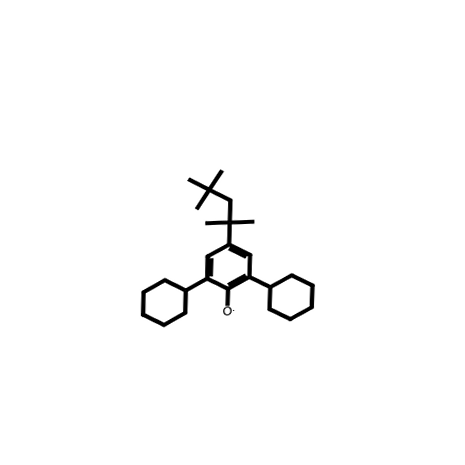 CC(C)(C)CC(C)(C)c1cc(C2CCCCC2)c([O])c(C2CCCCC2)c1